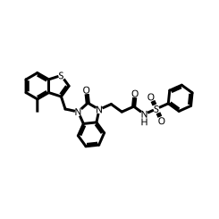 Cc1cccc2scc(Cn3c(=O)n(CCC(=O)NS(=O)(=O)c4ccccc4)c4ccccc43)c12